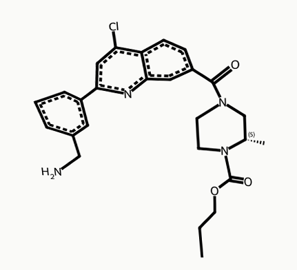 CCCOC(=O)N1CCN(C(=O)c2ccc3c(Cl)cc(-c4cccc(CN)c4)nc3c2)C[C@@H]1C